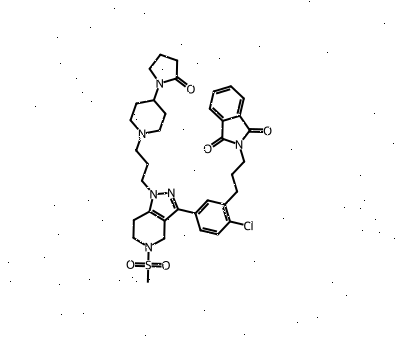 CS(=O)(=O)N1CCc2c(c(-c3ccc(Cl)c(CCCN4C(=O)c5ccccc5C4=O)c3)nn2CCCN2CCC(N3CCCC3=O)CC2)C1